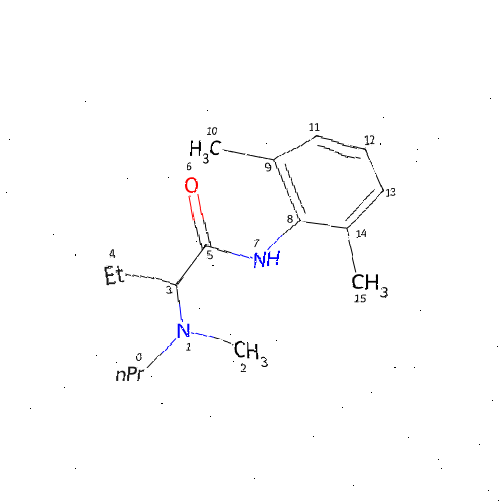 CCCN(C)C(CC)C(=O)Nc1c(C)cccc1C